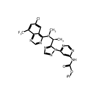 CC(C)OC(=O)Nc1cc(-n2ncnc2[C@H](C)N(C)c2ncnc3c(C(F)(F)F)cc(Cl)cc23)ncn1